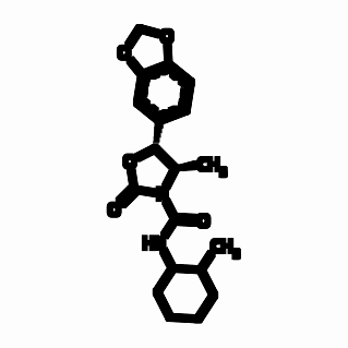 CC1CCCCC1NC(=O)N1C(=O)O[C@H](c2ccc3c(c2)OCO3)[C@H]1C